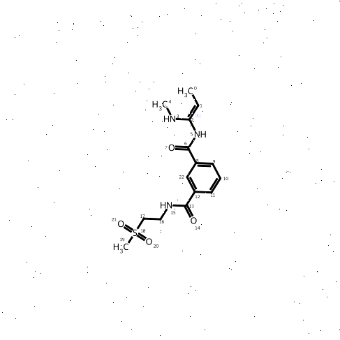 C/C=C(\NC)NC(=O)c1cccc(C(=O)NCCS(C)(=O)=O)c1